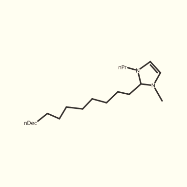 CCCCCCCCCCCCCCCCCCC1N(C)C=CN1CCC